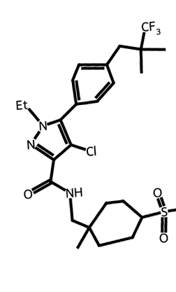 CCn1nc(C(=O)NCC2(C)CCC(S(C)(=O)=O)CC2)c(Cl)c1-c1ccc(CC(C)(C)C(F)(F)F)cc1